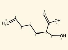 C=CCCC[C@H](CO)C(=O)O